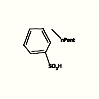 CCCCCC.O=S(=O)(O)c1ccccc1